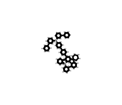 c1ccc(-c2cccc(N(c3ccc(-c4ccc(-c5cc6c7c8c5c5ccccc5n8-c5ccccc5-c5cccc(c5-7)C65CCCCC5)cc4)cc3)c3cccc(-c4ccccc4)c3)c2)cc1